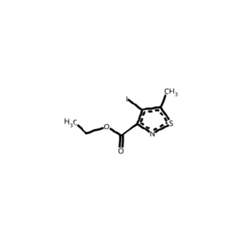 CCOC(=O)c1nsc(C)c1I